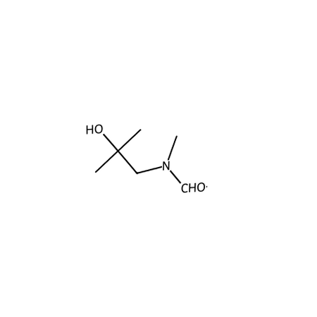 CN([C]=O)CC(C)(C)O